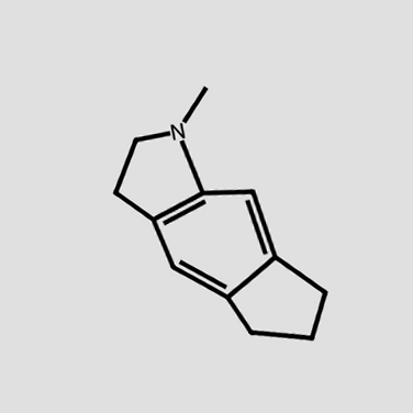 CN1CCc2cc3c(cc21)CCC3